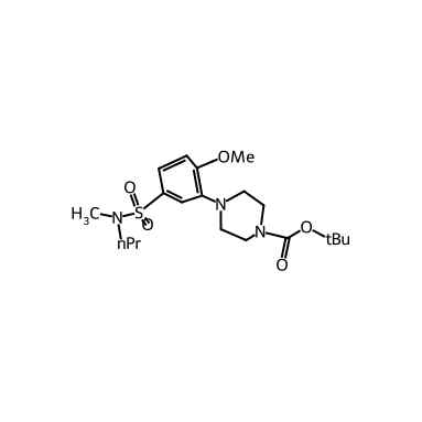 CCCN(C)S(=O)(=O)c1ccc(OC)c(N2CCN(C(=O)OC(C)(C)C)CC2)c1